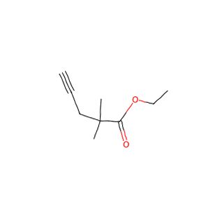 C#CCC(C)(C)C(=O)OCC